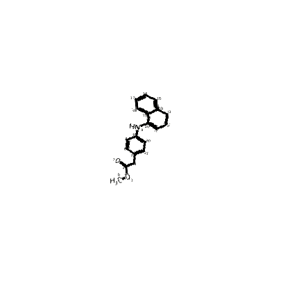 COC(=O)Cc1ccc(Nc2cccc3ccccc23)cc1